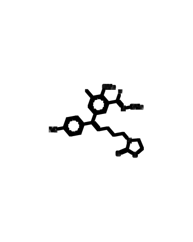 CO/N=C(\F)c1cc(/C(=C\CCCN2CCOC2=O)c2ccc(C#N)cc2)cc(C)c1OC